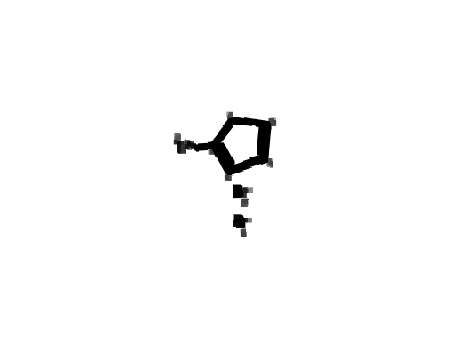 [Br-].[Br-].[Ti+2][C]1=CC=CC1